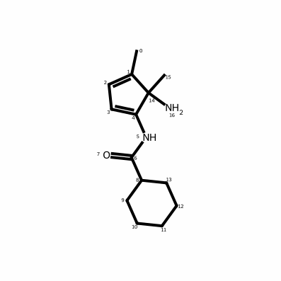 CC1=CC=C(NC(=O)C2CCCCC2)C1(C)N